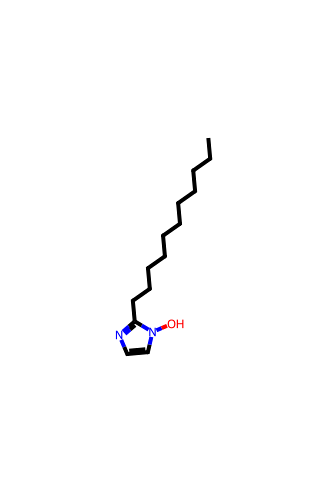 CCCCCCCCCCCc1nccn1O